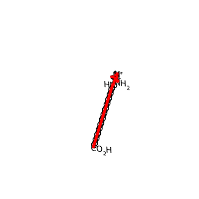 [N-]=[N+]=Nc1ccc2c(c1)c(-c1ccccc1)[n+](CCCCCC(=O)NCCOCCOCCOCCOCCOCCOCCOCCOCCOCCOCCOCCOCCOCCOCCOCCOCCOCCOCCOCCOCCOCCOCCOCCOCCC(=O)O)c1cc(N)ccc21